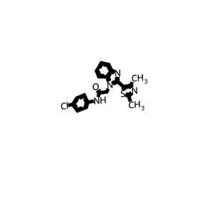 Cc1nc(C)c(-c2nc3ccccc3n2CC(=O)Nc2ccc(Cl)cc2)s1